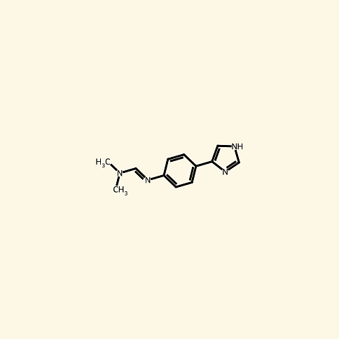 CN(C)C=Nc1ccc(-c2c[nH]cn2)cc1